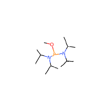 COP(N(C(C)C)C(C)C)N(C(C)C)C(C)C